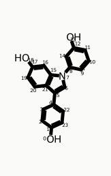 Oc1ccc(-c2cn(-c3[c]ccc(O)c3)c3cc(O)ccc23)cc1